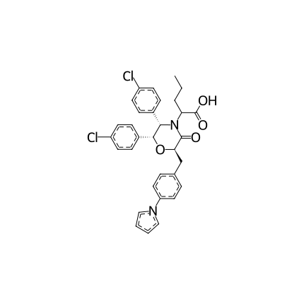 CCCC(C(=O)O)N1C(=O)[C@@H](Cc2ccc(-n3cccc3)cc2)O[C@H](c2ccc(Cl)cc2)[C@@H]1c1ccc(Cl)cc1